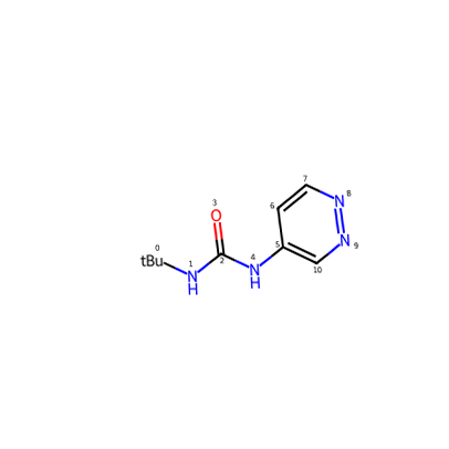 CC(C)(C)NC(=O)Nc1ccnnc1